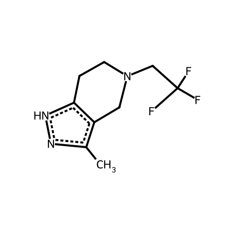 Cc1n[nH]c2c1CN(CC(F)(F)F)CC2